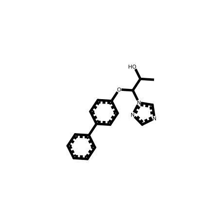 CC(O)C(Oc1ccc(-c2ccccc2)cc1)n1cncn1